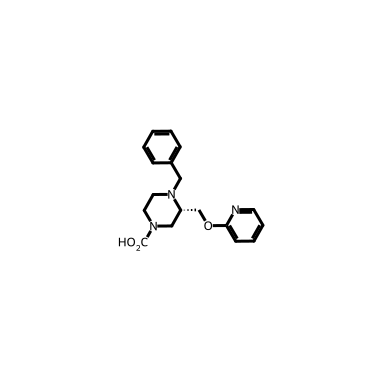 O=C(O)N1CCN(Cc2ccccc2)[C@H](COc2ccccn2)C1